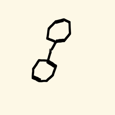 C1=CCC[C]([Ir][C]2=CCCC=CCC2)=CCC1